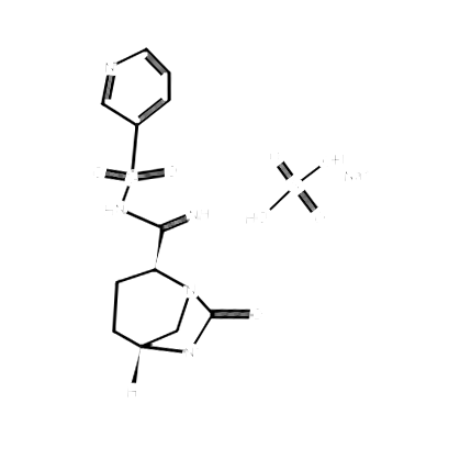 N=C(NS(=O)(=O)c1cccnc1)[C@@H]1CC[C@@H]2CN1C(=O)[N-]2.O=S(=O)(O)O.[Na+]